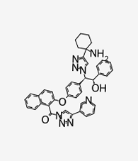 NC1(c2cn([C@H](c3ccc(Oc4ccc5ccccc5c4C(=O)n4cc(-c5cccnc5)nn4)cc3)[C@H](O)c3ccccc3)nn2)CCCCC1